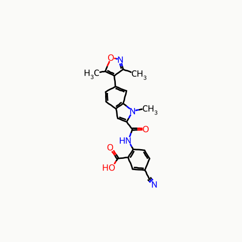 Cc1noc(C)c1-c1ccc2cc(C(=O)Nc3ccc(C#N)cc3C(=O)O)n(C)c2c1